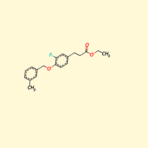 CCOC(=O)CCc1ccc(OCc2cccc(C)c2)c(F)c1